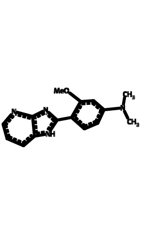 COc1cc(N(C)C)ccc1-c1nc2ncccc2[nH]1